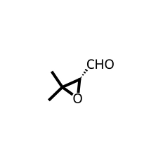 CC1(C)O[C@H]1C=O